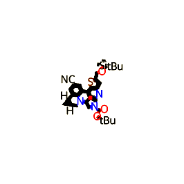 CC(C)(C)OC(=O)N1CCC(N2C[C@@H]3C[C@@H]3c3cc(C#N)cc(-c4ccnc5cc(CO[Si](C)(C)C(C)(C)C)sc45)c32)C1